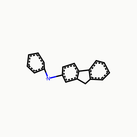 c1ccc([N]c2ccc3c(c2)Cc2ccccc2-3)cc1